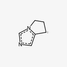 [C]1CCn2cncc21